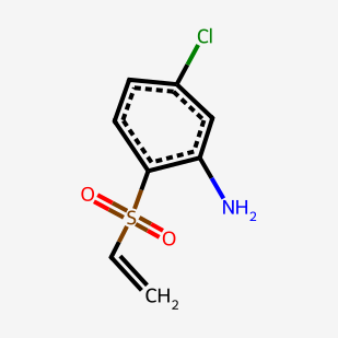 C=CS(=O)(=O)c1ccc(Cl)cc1N